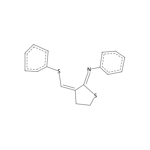 C(/Sc1ccccc1)=C1\CCS\C1=N/c1ccccc1